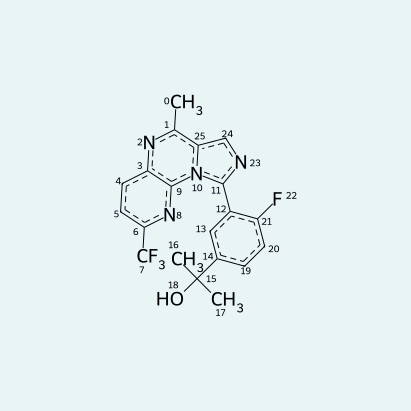 Cc1nc2ccc(C(F)(F)F)nc2n2c(-c3cc(C(C)(C)O)ccc3F)ncc12